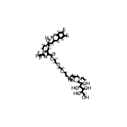 CCN(Cc1cn(CCOCCOCCOC(=O)c2nc(C(F)(F)F)n3c2CN(C(=O)CC(N)Cc2cc(F)c(F)cc2F)CC3)nn1)C[C@H](O)[C@@H](O)[C@H](O)[C@H](O)CO